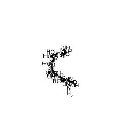 Nc1nc2c(ncn2CC2OC(COP(=O)(O)OCC(COP(=O)(O)OCC3OC(n4cnc5c(=O)[nH]c(N)nc54)[C@H](O)[C@@H]3O)OP(=O)(O)O)C(O)C2O)c(=O)[nH]1